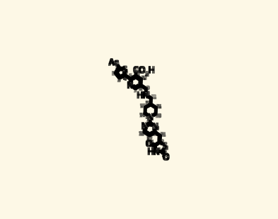 CC(=O)c1ccc(-c2ncc(CNCC3CCN(c4nccc(C=C5SC(=O)NC5=O)n4)CC3)cc2C(=O)O)s1